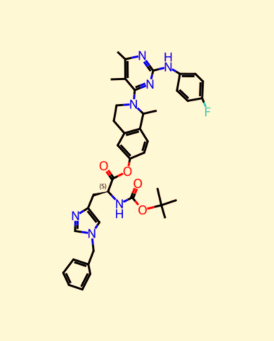 Cc1nc(Nc2ccc(F)cc2)nc(N2CCc3cc(OC(=O)[C@H](Cc4cn(Cc5ccccc5)cn4)NC(=O)OC(C)(C)C)ccc3C2C)c1C